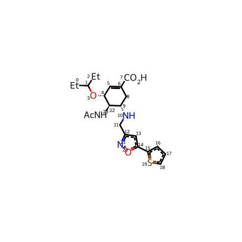 CCC(CC)O[C@@H]1C=C(C(=O)O)C[C@H](NCc2cc(-c3cccs3)on2)[C@H]1NC(C)=O